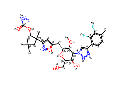 CO[C@@H]1[C@@H](n2cc(-c3ccc(C)c(F)c3F)nn2)[C@@H](O)[C@@H](CO)O[C@@H]1Cc1cc(C(C)(COC(N)=O)CC(C)(C)C)no1